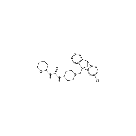 O=C(NC1CCN(CC23CC(c4ccccc42)c2ccc(Cl)cc23)CC1)NC1CCCCO1